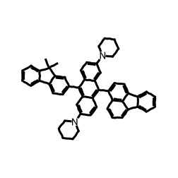 CC1(C)c2ccccc2-c2ccc(-c3c4cc(N5CCCCC5)ccc4c(-c4ccc5c6c(cccc46)-c4ccccc4-5)c4cc(N5CCCCC5)ccc34)cc21